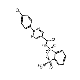 NS(=O)(=O)c1ccccc1S(=O)(=O)NC(=O)c1cnc(-c2ccc(Cl)cc2)nc1